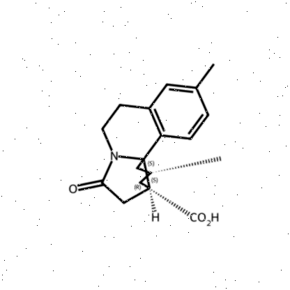 Cc1ccc2c(c1)CCN1C(=O)C[C@H]3[C@H](C(=O)O)[C@@H](C)CC231